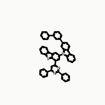 c1ccc(-c2cccc(-c3ccc4c5ccccc5n(-c5cc(-c6cc(-c7ccccc7)nc(-c7ccccc7)n6)c6sc7ccccc7c6c5)c4c3)c2)cc1